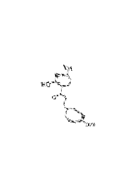 COc1ccc(/C=C/C(=O)c2ccc(O)cc2O)cc1